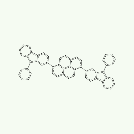 c1ccc(-n2c3ccccc3c3ccc(-c4ccc5ccc6c(-c7ccc8c9ccccc9n(-c9ccccc9)c8c7)ccc7ccc4c5c76)cc32)cc1